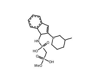 COP(=O)(O)CP(=O)(O)NC1C(N2CCCC(C)C2)=Cc2ccccc21